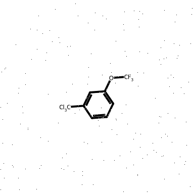 FC(F)(F)Oc1cccc(C(Cl)(Cl)Cl)c1